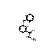 NNC(=O)c1cncc(Sc2ccccc2)n1